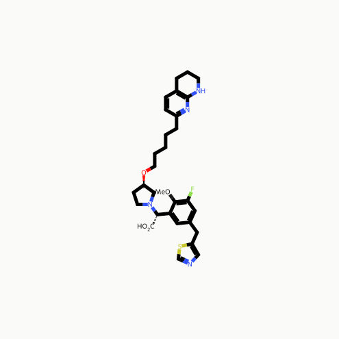 COc1c(F)cc(Cc2cncs2)cc1[C@H](C(=O)O)N1CC[C@@H](OCCCCCc2ccc3c(n2)NCCC3)C1